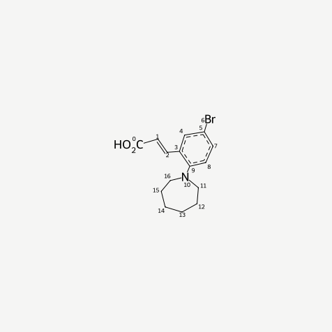 O=C(O)C=Cc1cc(Br)ccc1N1CCCCCC1